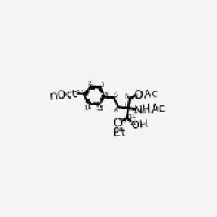 CCCCCCCCc1ccc(CCC(COC(C)=O)(NC(C)=O)C(O)OCC)cc1